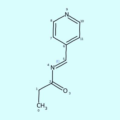 CCC(=O)/N=C/c1ccncc1